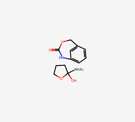 CC(=O)NC1(O)CCCO1.O=C1Nc2cccc(c2)CO1